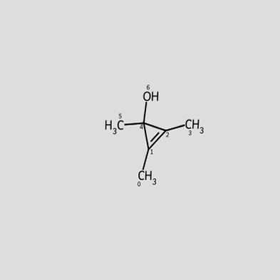 CC1=C(C)C1(C)O